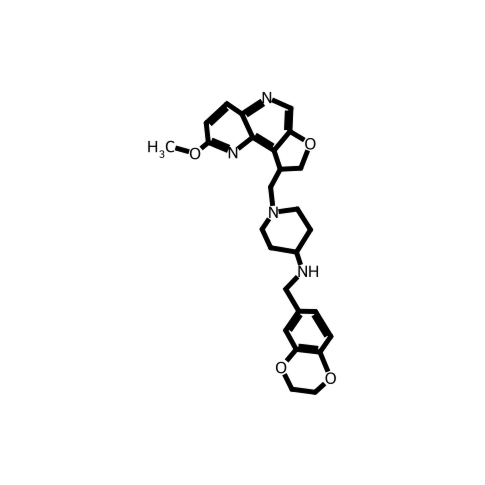 COc1ccc2ncc3c(c2n1)C(CN1CCC(NCc2ccc4c(c2)OCCO4)CC1)CO3